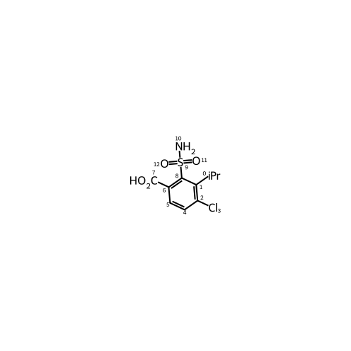 CC(C)c1c(Cl)ccc(C(=O)O)c1S(N)(=O)=O